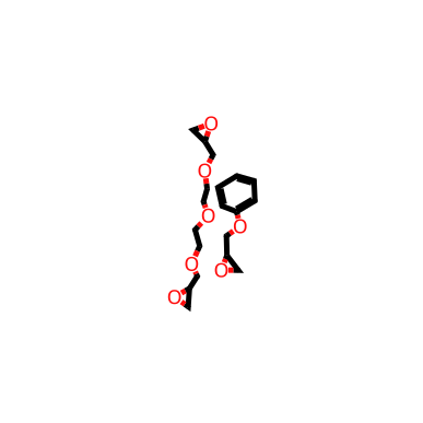 C(COCC1CO1)OCCOCC1CO1.c1ccc(OCC2CO2)cc1